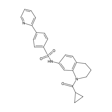 O=C(C1CC1)N1CCCc2ccc(NS(=O)(=O)c3ccc(-c4ccccn4)cc3)cc21